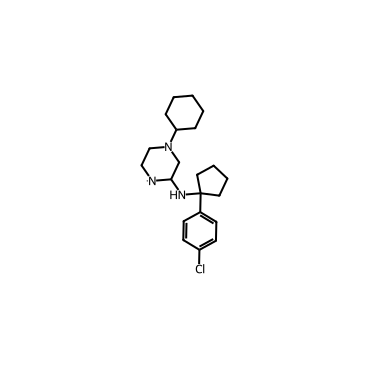 Clc1ccc(C2(NC3CN(C4CCCCC4)CC[N]3)CCCC2)cc1